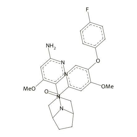 COc1cc(C(=O)N2C3CCC2CN(c2cnc(N)cc2OC)C3)ncc1Oc1ccc(F)cc1